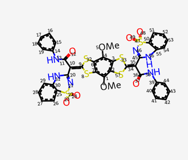 COc1c2c(c(OC)c3c1SC(=C(C(=O)Nc1ccccc1)C1=NS(=O)(=O)c4ccccc4N1)S3)SC(=C(C(=O)Nc1ccccc1)C1=NS(=O)(=O)c3ccccc3N1)S2